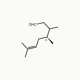 CC(C)=CC[C@H](C)C(C)CC=O